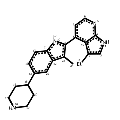 CCc1c[nH]c2nccc(-c3[nH]c4ccc(C5CCNCC5)cc4c3C)c12